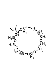 CCC(C)[SiH]1O[SiH2]O[SiH2]O[SiH2]O[SiH2]O[SiH2]O[SiH2]O[SiH2]O[SiH2]O[SiH2]O[SiH2]O[SiH2]O1